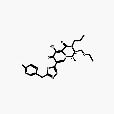 CCCN1C(=O)c2c(O)c(=O)c(-c3nnc(Cc4ccc(F)cc4)s3)cn2[C@H](C)[C@@H]1COCC